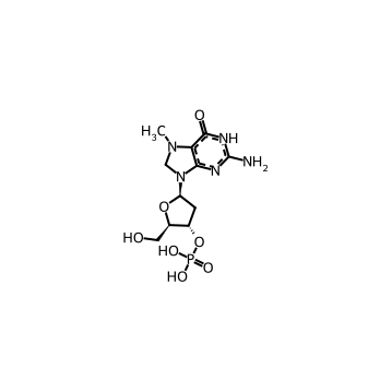 CN1CN([C@H]2C[C@H](OP(=O)(O)O)[C@@H](CO)O2)c2nc(N)[nH]c(=O)c21